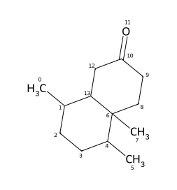 CC1CCC(C)C2(C)CCC(=O)CC12